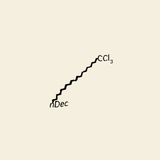 CCCCCCCCCCCCCCCCCCCCCCCCCCCCCC(Cl)(Cl)Cl